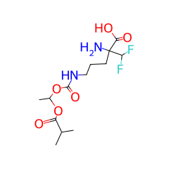 CC(OC(=O)NCCCC(N)(C(=O)O)C(F)F)OC(=O)C(C)C